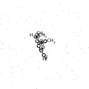 Cc1ccc(S(=O)(=O)n2c3c(c4ccc(-n5ccc(-c6ccc(C(F)(F)F)cc6)cc5=O)cc42)CCN(C(=O)OC(C)(C)C)C3)cc1